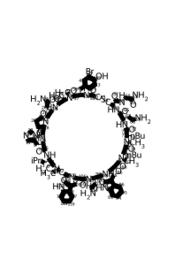 C=C1[C@H](CC(C)C)NC(=O)[C@H](Cc2cnc[nH]2)NC(=O)[C@@H]2CCCN2C(=O)[C@H](CC(N)=O)NC(=O)[C@H](C)N(C)C(=O)[C@H](Cc2ccc(O)c(Br)c2)NC(=O)CSC[C@@H](C(=O)NCC(N)=O)NC(=O)[C@H](CCN)NC(=O)[C@H](CCCC)N(C)C(=O)[C@H](CCCC)N(C)C(=O)C(=O)[C@H](Cc2c[nH]c3ccccc23)NC(=O)[C@H](CCN)NC(=O)[C@H](Cc2c[nH]c3ccccc23)NC(=O)CN1C